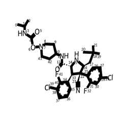 CC(C)NC(=O)ON1CCC(NC(=O)[C@@H]2N[C@@H](CC(C)(C)C)[C@](C#N)(c3ccc(Cl)cc3F)[C@H]2c2cccc(Cl)c2F)CC1